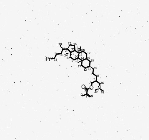 C=C(C)C(=O)OCC(CCC[C@H]1CC[C@@]2(C)C(CC[C@@H]3C2CC[C@@]2(C)C3CC[C@@H]2[C@H](C)CCCC(C)C)C1)CN(C)C